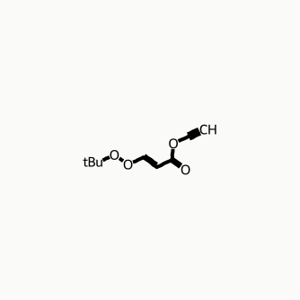 C#COC(=O)C=COOC(C)(C)C